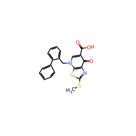 CSc1nc2c(=O)c(C(=O)O)cn(Cc3ccccc3-c3ccccc3)c2s1